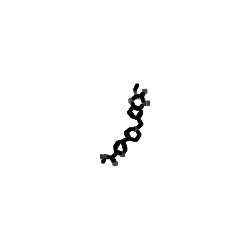 CC[C@H]1Oc2ccc(CN3CC=C(c4ccc(C(=O)NC)nc4)CC3)cc2NC1=O